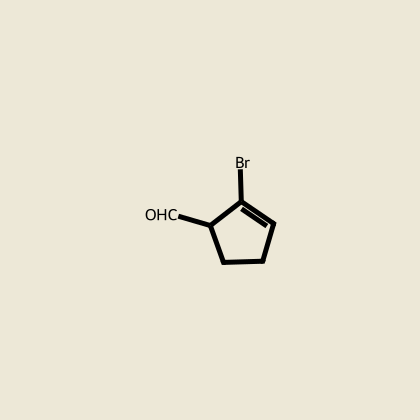 O=CC1CCC=C1Br